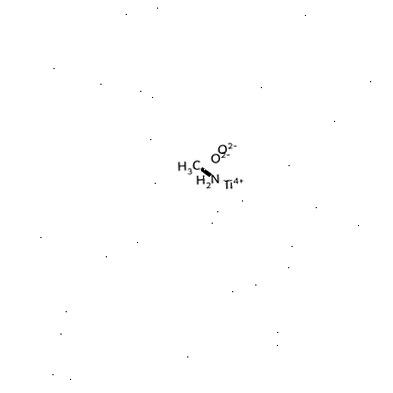 CN.[O-2].[O-2].[Ti+4]